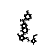 CCN1CC[C@@H]1COc1cnn(C)c1-c1ccn2nc(Nc3cncc(C)n3)cc2c1